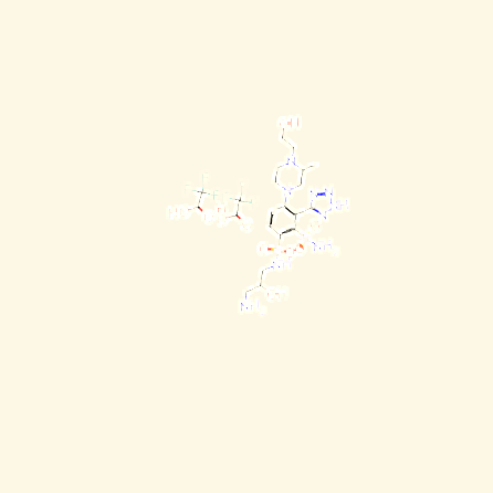 CC1CN(c2ccc(S(=O)(=O)NCC(O)CN)c(S(N)(=O)=O)c2-c2nn[nH]n2)CCN1CCO.O=C(O)C(F)(F)F.O=C(O)C(F)(F)F